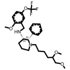 COCC(CCCCN1CCC[C@H](NCc2cc(OC(F)(F)F)ccc2OC)[C@@H]1c1ccccc1)OC